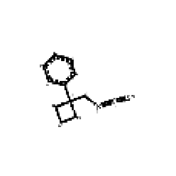 S=C=NCC1(c2ccccc2)CCC1